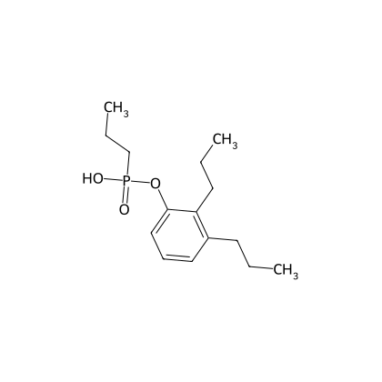 CCCc1cccc(OP(=O)(O)CCC)c1CCC